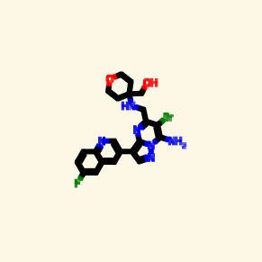 Nc1c(Br)c(CNC2(CO)CCOCC2)nc2c(-c3cnc4ccc(F)cc4c3)cnn12